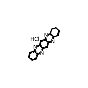 C1=Cc2nc3cc4nc5ccccc5nc4cc3nc2CC1.Cl